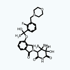 BC(O)(Oc1cccc2c1CN(C1C(=O)NC(=O)C(O)(O)C1(B)B)C2=O)c1cccc(CN2CCOCC2)c1F